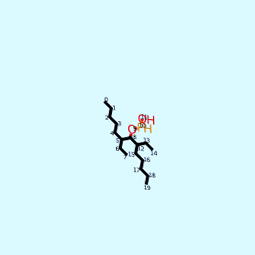 CCCCCC(CC)C(OPO)C(CC)CCCCC